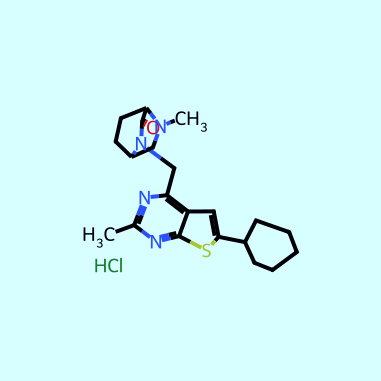 Cc1nc(CN2C(=O)C3CCC2CN3C)c2cc(C3CCCCC3)sc2n1.Cl